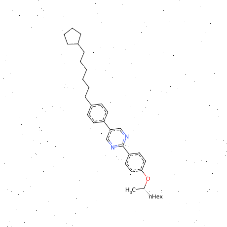 CCCCCC[C@H](C)Oc1ccc(-c2ncc(-c3ccc(CCCCCCC4CCCC4)cc3)cn2)cc1